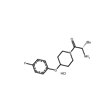 CC(C)(C)[C@H](N)C(=O)N1CCC(Oc2ccc(F)cc2)CC1.Cl